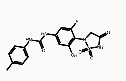 Cc1ccc(NC(=O)Nc2cc(O)c(N3CC(=O)NS3(=O)=O)c(F)c2)cc1